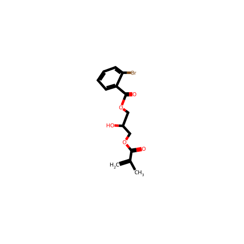 C=C(C)C(=O)OCC(O)COC(=O)c1ccccc1Br